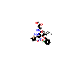 CC[C@H](C)C(OCc1ccccc1F)[C@H]1[C@H]([N+](=O)[O-])[C@@H](c2cccs2)N[C@@H]1C(=O)NCCC(=O)O